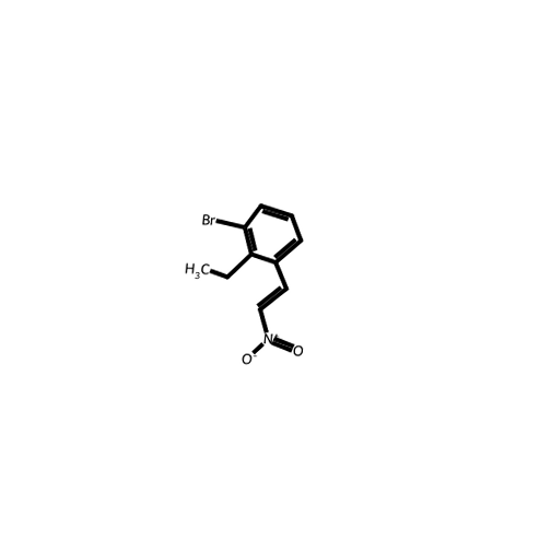 CCc1c(Br)cccc1C=C[N+](=O)[O-]